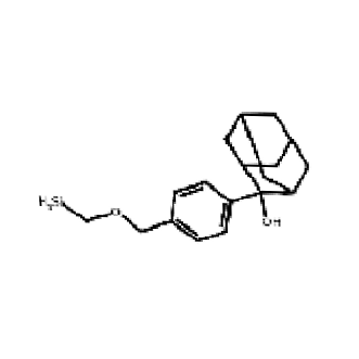 OC1(c2ccc(COC[SiH3])cc2)C2CC3CC(C2)CC1C3